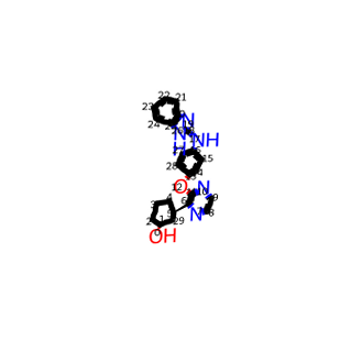 O[C@H]1CCC[C@@H](c2nccnc2Oc2ccc(Nc3nc4ccccc4[nH]3)cc2)C1